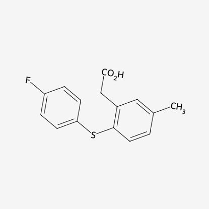 Cc1ccc(Sc2ccc(F)cc2)c(CC(=O)O)c1